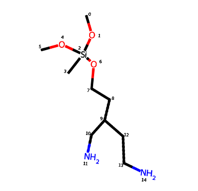 CO[Si](C)(OC)OCCC(CN)CCN